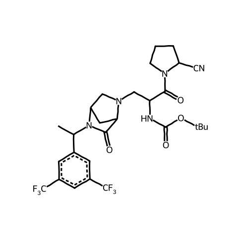 CC(c1cc(C(F)(F)F)cc(C(F)(F)F)c1)N1C(=O)C2CC1CN2CC(NC(=O)OC(C)(C)C)C(=O)N1CCCC1C#N